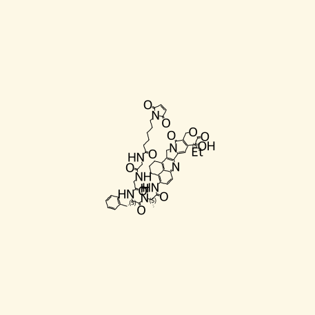 CC[C@@]1(O)C(=O)OCc2c1cc1n(c2=O)Cc2c-1nc1ccc(NC(=O)[C@H](C)NC(=O)[C@H](Cc3ccccc3)NC(=O)CNC(=O)CNC(=O)CCCCCN3C(=O)C=CC3=O)c3c1c2CCC3